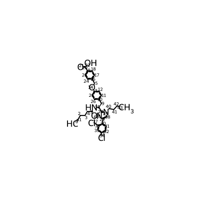 C#CCCCC(=O)N[C@@H](Cc1ccc(OCc2ccc(C(=O)O)cc2)cc1)c1nc(-c2ccc(Cl)cc2Cl)cn1CCCC